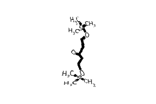 C[Si](C)(C)OCCC(=O)CCO[Si](C)(C)C